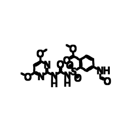 COC(=O)c1ccc(NC=O)cc1S(=O)(=O)NC(=O)Nc1nc(OC)cc(OC)n1